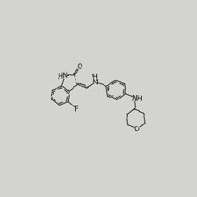 O=C1Nc2cccc(F)c2C1=CNc1ccc(NC2CCOCC2)cc1